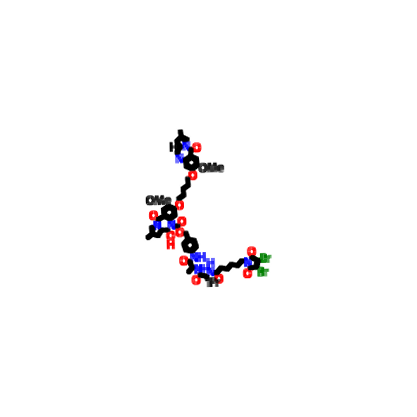 COc1cc2c(cc1OCCCCCOc1cc3c(cc1OC)C(=O)N1C=C(C)CC1C(O)N3C(=O)OCc1ccc(NC(=O)C(C)NC(=O)C(NC(=O)CCCCCN3C(=O)C(Br)=C(Br)C3=O)C(C)C)cc1)N=C[C@H]1CC(C)=CN1C2=O